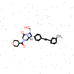 Cc1cccc(C#Cc2ccc([C@H]3[C@@H](CO)N4C(=O)CN(C(=O)C5CCOCC5)C[C@H]34)cc2)c1